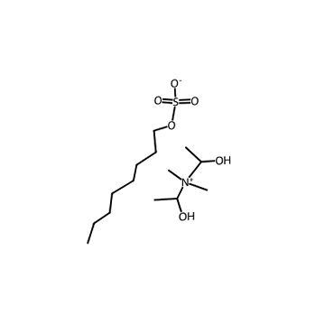 CC(O)[N+](C)(C)C(C)O.CCCCCCCCOS(=O)(=O)[O-]